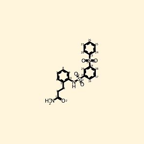 NC(=O)CCc1ccccc1NS(=O)(=O)c1cccc(S(=O)(=O)c2ccccc2)c1